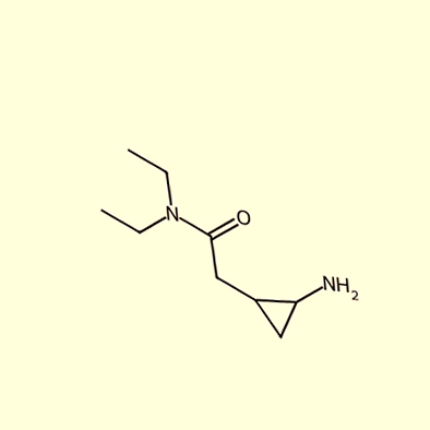 CCN(CC)C(=O)CC1CC1N